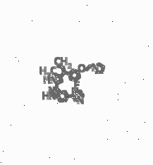 C=C/C=C(/c1cc(F)cc(OCCN2CCCC2)c1)c1cc(-c2n[nH]c3ccc(-c4cnccn4)cc23)[nH]c1C